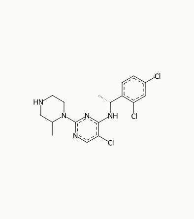 CC1CNCCN1c1ncc(Cl)c(N[C@H](C)c2ccc(Cl)cc2Cl)n1